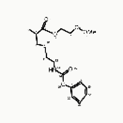 COOCCOC(=O)C(C)CSCCNC(=O)Oc1ccccc1